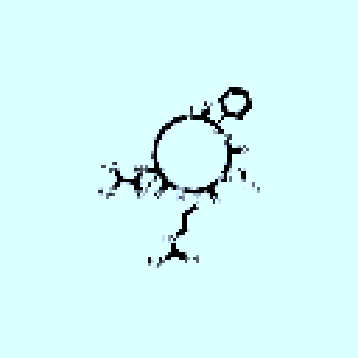 CC[C@@H]1NC(=O)[C@H](CCCNC(=N)N)NC(=O)[C@](C)(NC(=O)C(C)C)CCCCNC(=O)[C@@H](C2C=CC=CC2)NC1=O